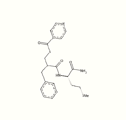 CSCC[C@H](NC(=O)C(CSC(=O)c1ccncc1)Cc1ccccc1)C(N)=O